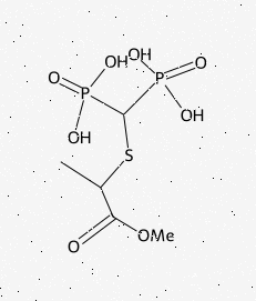 COC(=O)C(C)SC(P(=O)(O)O)P(=O)(O)O